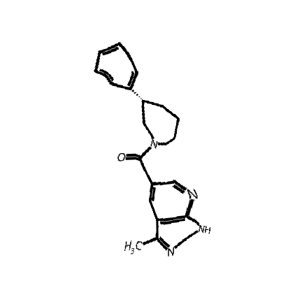 Cc1n[nH]c2ncc(C(=O)N3CCC[C@@H](c4ccccc4)C3)cc12